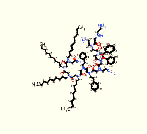 CCCCCCCCCCN(CC(N)=O)C(=O)CN(CCCCCCCCCC)C(=O)CN(CCCCCCCCCC)C(=O)CN(CCCCCCCCCC)C(=O)CN(CCc1ccccc1)C(=O)CN(CCc1ccccc1)C(=O)CN(CCN)C(=O)CN(CCc1ccccc1)C(=O)CN(CCc1ccccc1)C(=O)CN(CCN)C(=O)CNCCN